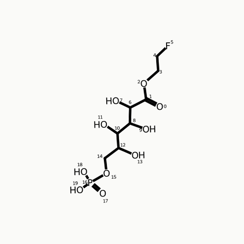 O=C(OCCF)C(O)C(O)C(O)C(O)COP(=O)(O)O